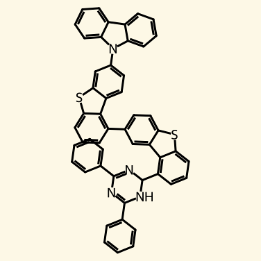 c1ccc(C2=NC(c3cccc4sc5ccc(-c6cccc7sc8cc(-n9c%10ccccc%10c%10ccccc%109)ccc8c67)cc5c34)NC(c3ccccc3)=N2)cc1